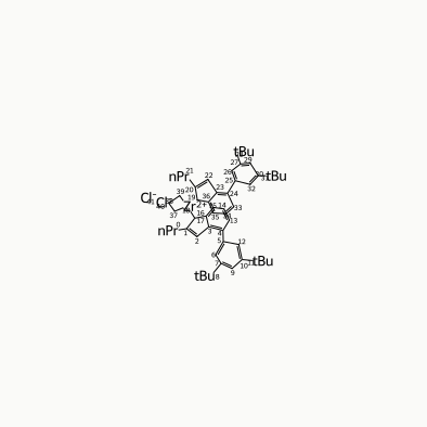 CCCC1=Cc2c(-c3cc(C(C)(C)C)cc(C(C)(C)C)c3)cccc2[CH]1[Zr+2]1([CH]2C(CCC)=Cc3c(-c4cc(C(C)(C)C)cc(C(C)(C)C)c4)cccc32)[CH2]C[CH2]1.[Cl-].[Cl-]